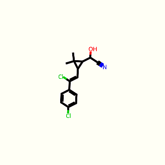 CC1(C)C(C=C(Cl)c2ccc(Cl)cc2)C1C(O)C#N